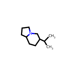 CC(C)C1CCC2CCCN2C1